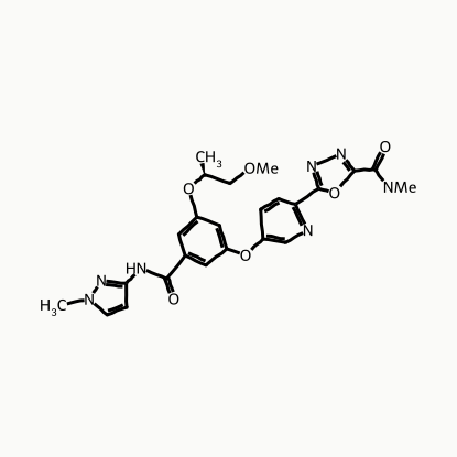 CNC(=O)c1nnc(-c2ccc(Oc3cc(O[C@@H](C)COC)cc(C(=O)Nc4ccn(C)n4)c3)cn2)o1